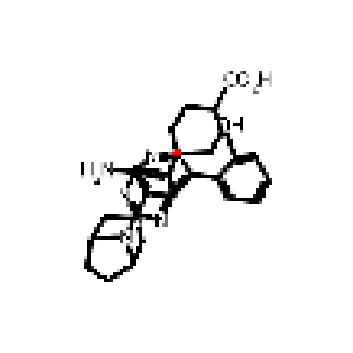 Nc1nnc(-c2ccccc2O)cc1N1CC2CCC(C1)N2c1ncc(C2CCC(C(=O)O)CC2)cn1